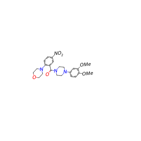 COc1ccc(N2CCN(C(=O)c3cc([N+](=O)[O-])ccc3N3CCOCC3)CC2)cc1OC